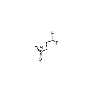 O=[SH](=O)CCC(F)F